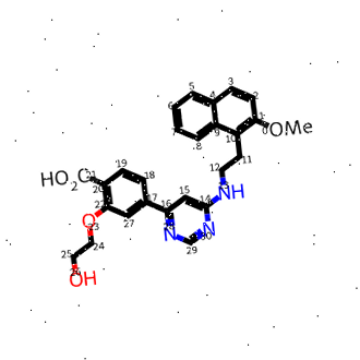 COc1ccc2ccccc2c1CCNc1cc(-c2ccc(C(=O)O)c(OCCO)c2)ncn1